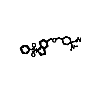 CN(C)C1(C#N)CCC(COCc2ccc3c(ccn3S(=O)(=O)c3ccccc3)c2)CC1